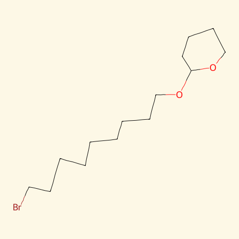 BrCCCCCCCCCOC1CCCCO1